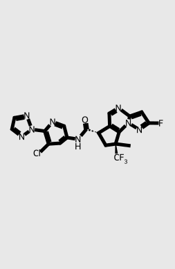 C[C@]1(C(F)(F)F)C[C@H](C(=O)Nc2cnc(-n3nccn3)c(Cl)c2)c2cnc3cc(F)nn3c21